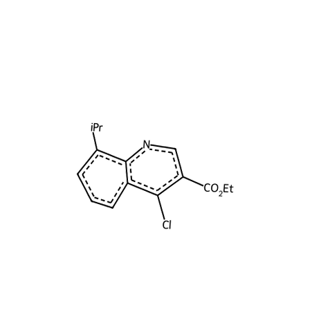 CCOC(=O)c1cnc2c(C(C)C)cccc2c1Cl